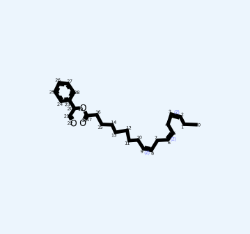 CC/C=C\C/C=C\C/C=C\CCCCCCCC(=O)OC(C=O)c1ccccc1